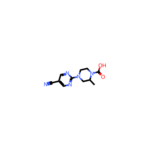 CC1CN(c2ncc(C#N)cn2)CCN1C(=O)O